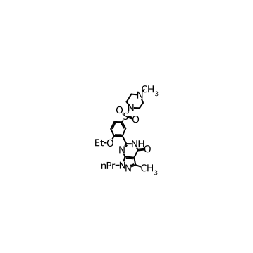 CCCn1nc(C)c2c(=O)[nH]c(-c3cc(S(=O)(=O)N4CCN(C)CC4)ccc3OCC)nc21